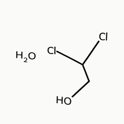 O.OCC(Cl)Cl